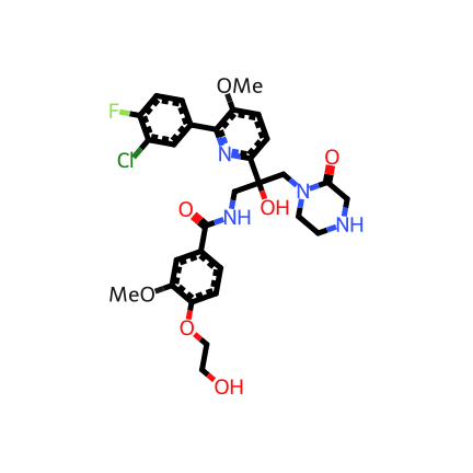 COc1cc(C(=O)NCC(O)(CN2CCNCC2=O)c2ccc(OC)c(-c3ccc(F)c(Cl)c3)n2)ccc1OCCO